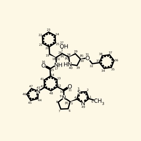 Cc1csc([C@H]2CCCN2C(=O)c2cc(C(=O)N[C@@H](Cc3ccccc3)[C@H](O)[C@H]3C[C@@H](OCc4ccccc4)CN3)cc(-n3cccc3)c2)n1